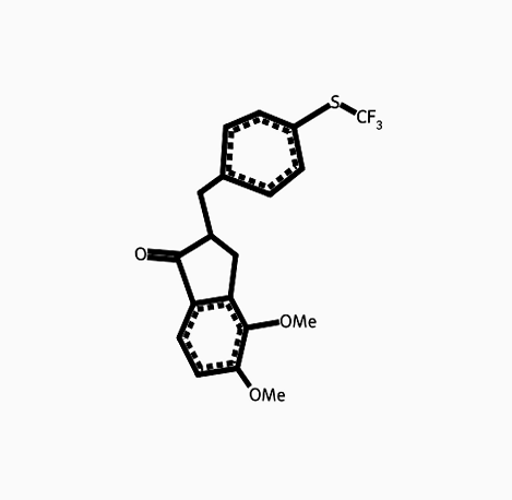 COc1ccc2c(c1OC)CC(Cc1ccc(SC(F)(F)F)cc1)C2=O